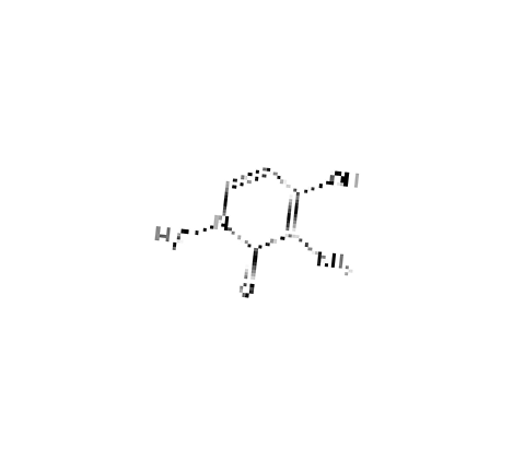 Cn1ccc(O)c(N)c1=O